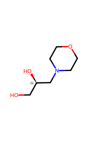 OC[C@@H](O)CN1CCOCC1